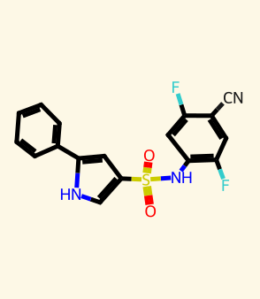 N#Cc1cc(F)c(NS(=O)(=O)c2c[nH]c(-c3ccccc3)c2)cc1F